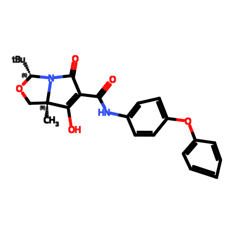 CC(C)(C)[C@H]1OC[C@]2(C)C(O)=C(C(=O)Nc3ccc(Oc4ccccc4)cc3)C(=O)N12